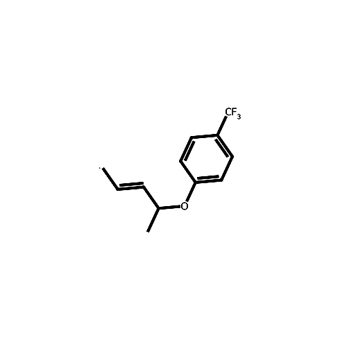 [CH2]C=CC(C)Oc1ccc(C(F)(F)F)cc1